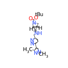 Cc1nn(C)cc1-c1ccc(CN[C@H]2[C@@H]3CN(C(=O)OC(C)(C)C)C[C@@H]32)nn1